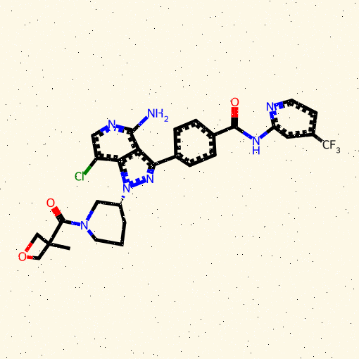 CC1(C(=O)N2CCC[C@@H](n3nc(-c4ccc(C(=O)Nc5cc(C(F)(F)F)ccn5)cc4)c4c(N)ncc(Cl)c43)C2)COC1